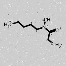 [CH2]CC(=O)N(C)CCCCC